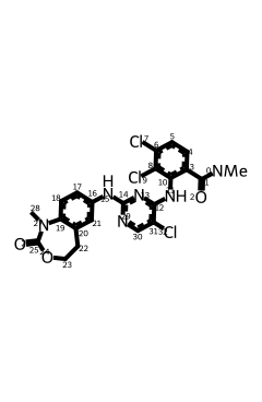 CNC(=O)c1ccc(Cl)c(Cl)c1Nc1nc(Nc2ccc3c(c2)CCOC(=O)N3C)ncc1Cl